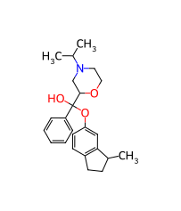 CC1CCc2ccc(OC(O)(c3ccccc3)C3CN(C(C)C)CCO3)cc21